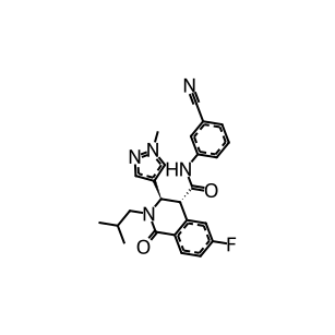 CC(C)CN1C(=O)c2ccc(F)cc2[C@@H](C(=O)Nc2cccc(C#N)c2)[C@@H]1c1cnn(C)c1